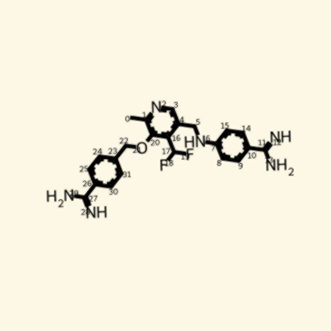 Cc1ncc(CNc2ccc(C(=N)N)cc2)c(C(F)F)c1OCc1ccc(C(=N)N)cc1